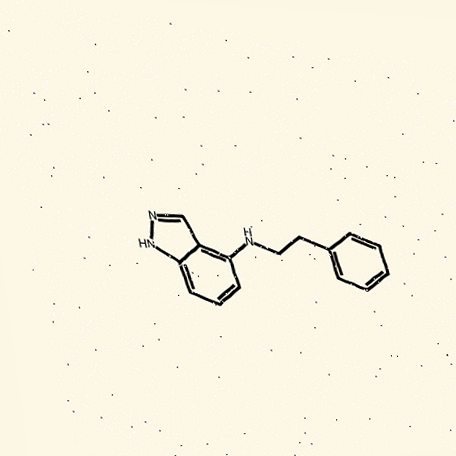 c1ccc(CCNc2cccc3[nH]ncc23)cc1